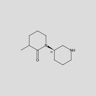 CC1CCCN([C@@H]2CCCNC2)C1=O